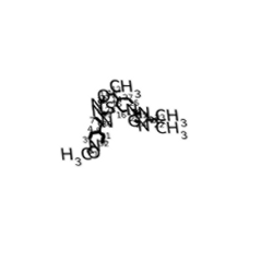 CO[n+]1ccc(-c2cn3nc(O[C@@H](C)C4CCN(c5nc(C(C)C)no5)CC4)sc3n2)cc1